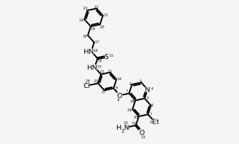 CCc1cc2nccc(Oc3ccc(NC(=S)NCCc4ccccc4)c(Cl)c3)c2cc1C(N)=O